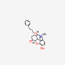 CCCN1CC[C@]23c4c5ccc(O)c4O[C@H]2C(=O)CC[C@@]3(OCCCc2ccccc2)[C@H]1C5